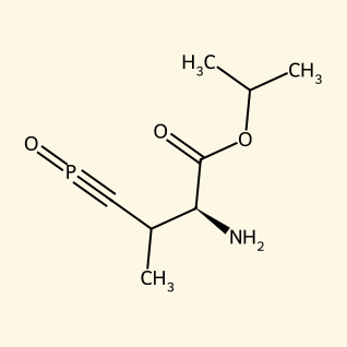 CC(C)OC(=O)[C@@H](N)C(C)C#P=O